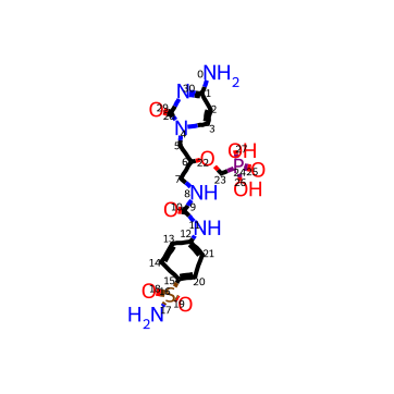 Nc1ccn(CC(CNC(=O)Nc2ccc(S(N)(=O)=O)cc2)OCP(=O)(O)O)c(=O)n1